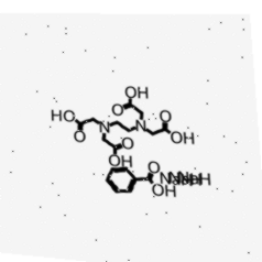 O=C(O)CN(CCN(CC(=O)O)CC(=O)O)CC(=O)O.O=C(O)c1ccccc1.[NaH].[NaH].[NaH]